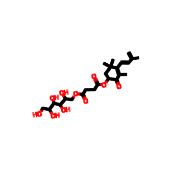 C=C(C)/C=C/C1=C(C)C(=O)C(OC(=O)CCC(=O)OCC(O)C(O)C(O)C(O)CO)CC1(C)C